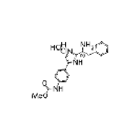 COC(=O)Nc1ccc(-c2cnc([C@@H](N)Cc3ccccc3)[nH]2)cc1.Cl.Cl